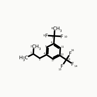 CC(C)Cc1cc(C(C)(F)F)cc(C(F)(F)F)c1